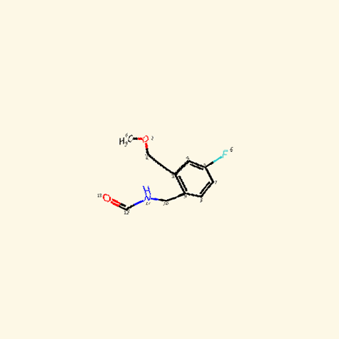 COCc1cc(F)ccc1CN[C]=O